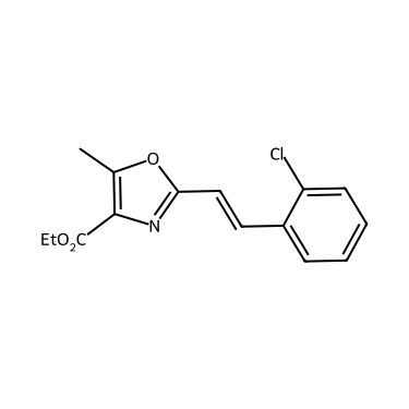 CCOC(=O)c1nc(C=Cc2ccccc2Cl)oc1C